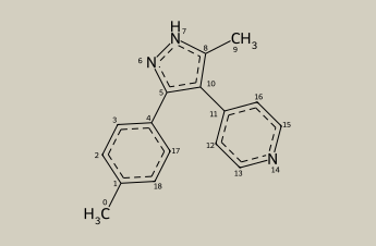 Cc1ccc(-c2n[nH]c(C)c2-c2ccncc2)cc1